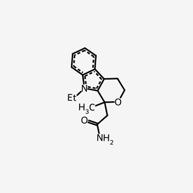 CCn1c2c(c3ccccc31)CCOC2(C)CC(N)=O